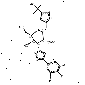 CO[C@@H]1[C@@H](n2cc(-c3cc(F)c(F)c(F)c3)nn2)[C@@H](O)[C@@H](CO)O[C@@H]1Cc1cc(C(C)(C)O)no1